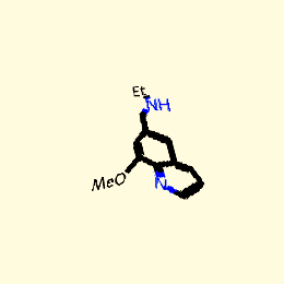 CCNCc1cc(OC)c2ncccc2c1